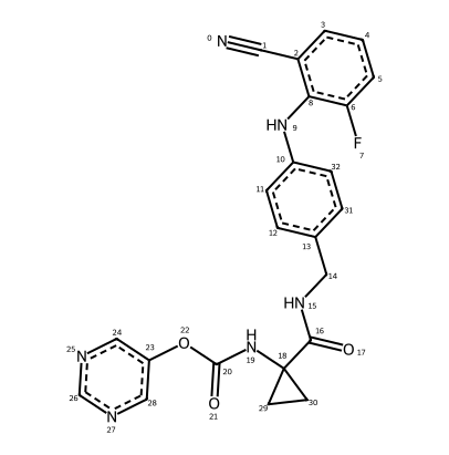 N#Cc1cccc(F)c1Nc1ccc(CNC(=O)C2(NC(=O)Oc3cncnc3)CC2)cc1